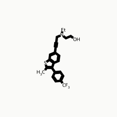 CCN(CC#Cc1ccc2c(-c3ccc(C(F)(F)F)cc3)c(C)sc2c1)CCO